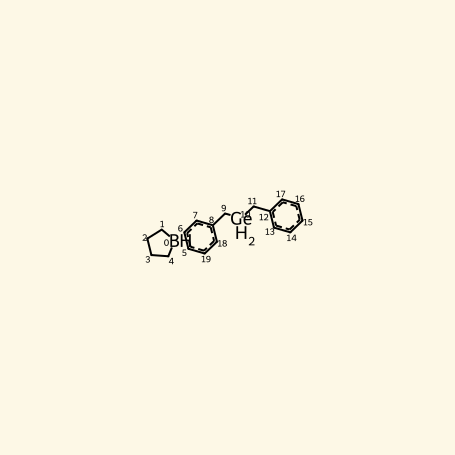 B1CCCC1.c1ccc([CH2][GeH2][CH2]c2ccccc2)cc1